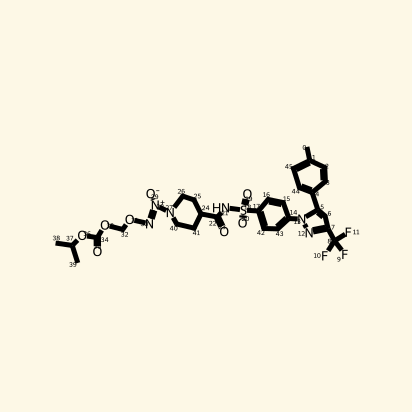 Cc1ccc(-c2cc(C(F)(F)F)nn2-c2ccc(S(=O)(=O)NC(=O)C3CCN(/[N+]([O-])=N/OCOC(=O)OC(C)C)CC3)cc2)cc1